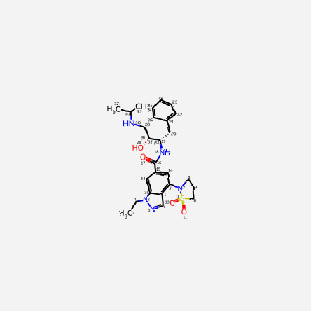 CCn1ncc2c(N3CCCS3(=O)=O)cc(C(=O)N[C@@H](Cc3ccccc3)[C@H](O)CNC(C)C)cc21